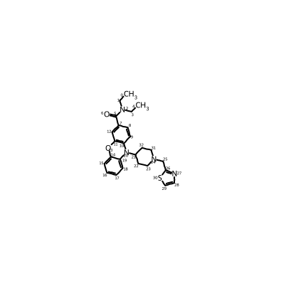 CCN(CC)C(=O)c1ccc2c(c1)Oc1ccccc1N2C1CCN(Cc2nccs2)CC1